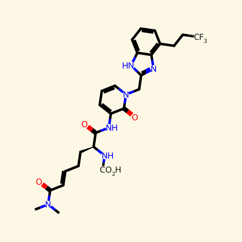 CN(C)C(=O)/C=C/CC[C@H](NC(=O)O)C(=O)Nc1cccn(Cc2nc3c(CCC(F)(F)F)cccc3[nH]2)c1=O